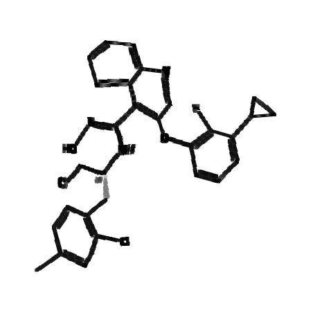 Cc1ccc(C[C@H](CCl)NC(=NO)c2c(Oc3cccc(C4CC4)c3F)cnc3ccccc23)c(Cl)c1